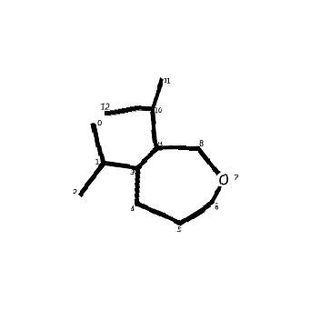 CC(C)C1CCCOCC1C(C)C